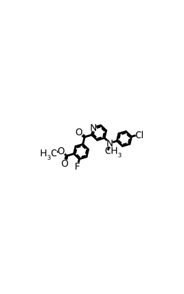 COC(=O)c1cc(C(=O)c2cc(N(C)c3ccc(Cl)cc3)ccn2)ccc1F